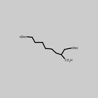 CCCCCCCCCCCCCCCCC(CCCCCCCCCCC)C(=O)O